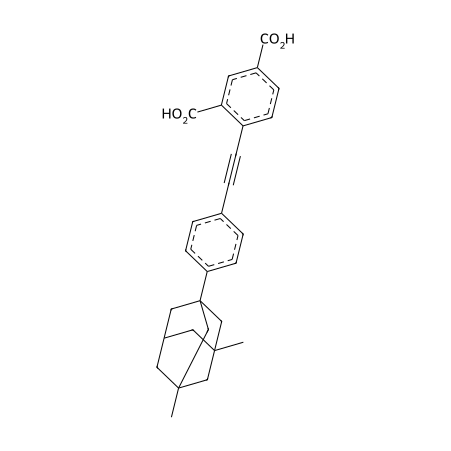 CC12CC3CC(C)(C1)CC(c1ccc(C#Cc4ccc(C(=O)O)cc4C(=O)O)cc1)(C3)C2